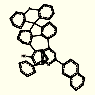 N#Cc1ccccc1-c1cccc2c1-c1c(-c3nc(-c4ccccc4)nc(-c4ccc5ccccc5c4)n3)cccc1C21c2ccccc2Sc2ccccc21